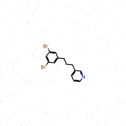 Brc1cc(Br)cc(C[CH]Cc2cccnc2)c1